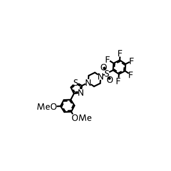 COc1cc(OC)cc(-c2csc(N3CCN(S(=O)(=O)c4c(F)c(F)c(F)c(F)c4F)CC3)n2)c1